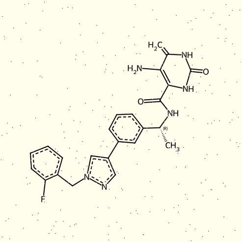 C=C1NC(=O)NC(C(=O)N[C@H](C)c2cccc(-c3cnn(Cc4ccccc4F)c3)c2)=C1N